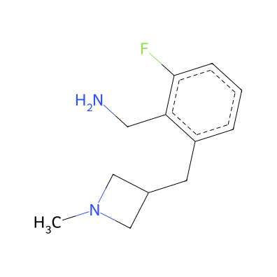 CN1CC(Cc2cccc(F)c2CN)C1